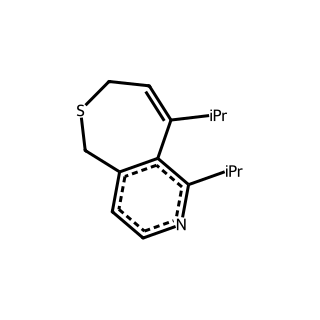 CC(C)C1=CCSCc2ccnc(C(C)C)c21